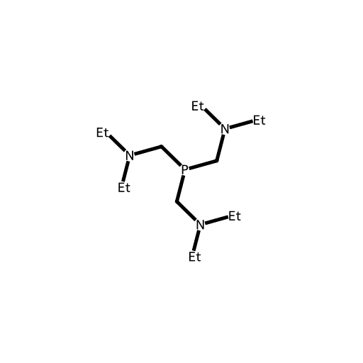 CCN(CC)CP(CN(CC)CC)CN(CC)CC